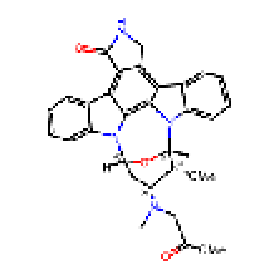 COC(=O)CN(C)[C@@H]1C[C@H]2O[C@@](C)([C@@H]1OC)n1c3ccccc3c3c4c(c5c6ccccc6n2c5c31)C(=O)NC4